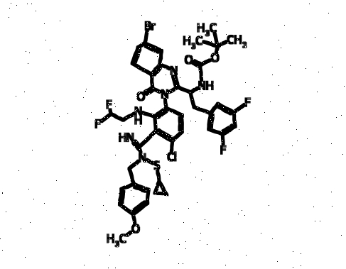 COc1ccc(CN(SC2CC2)C(=N)c2c(Cl)ccc(-n3c(C(Cc4cc(F)cc(F)c4)NC(=O)OC(C)(C)C)nc4cc(Br)ccc4c3=O)c2NCC(F)F)cc1